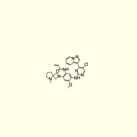 C=CC(=O)Nc1cc(Nc2ncc(Cl)c(-c3cnn4ccccc34)n2)c(OC)cc1N1CC2(CCCN2C)C1